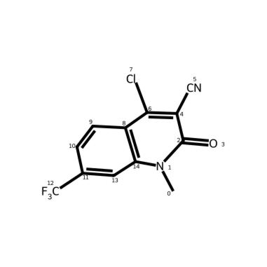 Cn1c(=O)c(C#N)c(Cl)c2ccc(C(F)(F)F)cc21